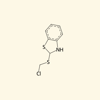 ClCSC1Nc2ccccc2S1